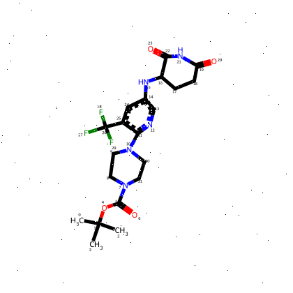 CC(C)(C)OC(=O)N1CCN(c2ncc(NC3CCC(=O)NC3=O)cc2C(F)(F)F)CC1